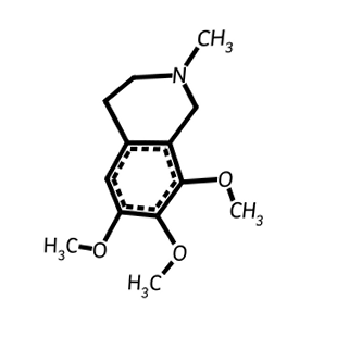 COc1cc2c(c(OC)c1OC)CN(C)CC2